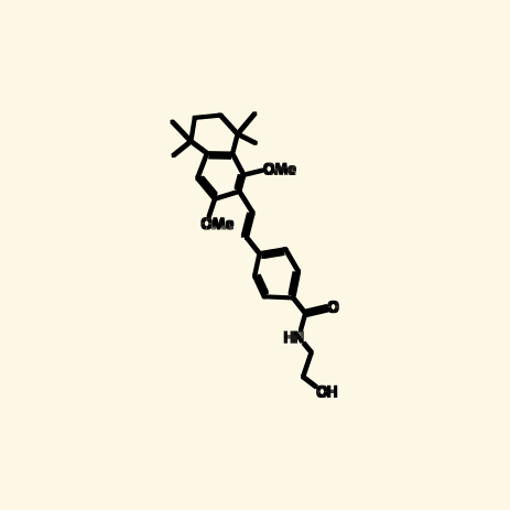 COc1cc2c(c(OC)c1C=Cc1ccc(C(=O)NCCO)cc1)C(C)(C)CCC2(C)C